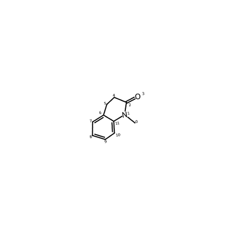 CN1C(=O)CCc2ccccc21